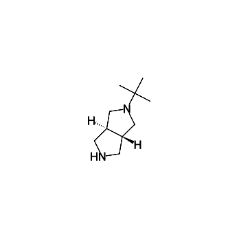 CC(C)(C)N1C[C@@H]2CNC[C@H]2C1